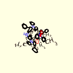 Cc1cc(C)c(N2c3cc4c(cc3B3c5cc6c(cc5Oc5cc(C7CCCCC7)cc2c53)N(c2c(C)cc(C)cc2C)c2cc(C3CCCCC3)cc3c2B6c2ccccc2O3)B2c3ccccc3N(c3ccccc3)c3cc(C5CCCCC5)cc(c32)N4)c(C)c1